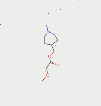 COCC(=O)OCC1CCN(C)CC1